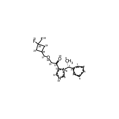 C[C@H](c1ccccc1)n1cncc1C(=O)COCC1CC(F)(F)C1